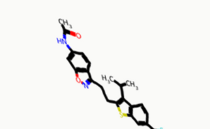 CC(=O)Nc1ccc2c(CCc3sc4cc(C(F)(F)F)ccc4c3C(C)C)noc2c1